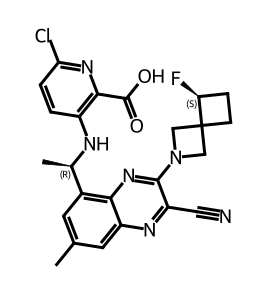 Cc1cc([C@@H](C)Nc2ccc(Cl)nc2C(=O)O)c2nc(N3CC4(CC[C@@H]4F)C3)c(C#N)nc2c1